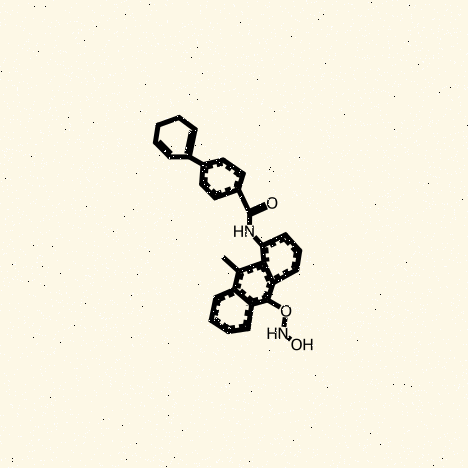 Cc1c2ccccc2c(ONO)c2cccc(NC(=O)c3ccc(C4=CCCC=C4)cc3)c12